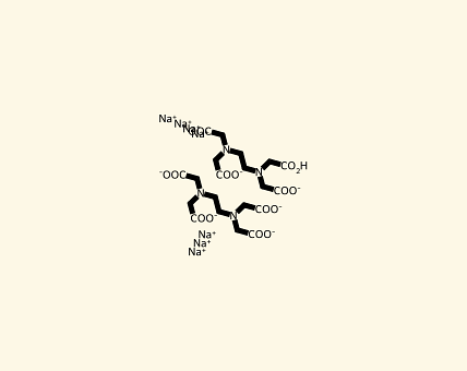 O=C([O-])CN(CCN(CC(=O)[O-])CC(=O)O)CC(=O)[O-].O=C([O-])CN(CCN(CC(=O)[O-])CC(=O)[O-])CC(=O)[O-].[Na+].[Na+].[Na+].[Na+].[Na+].[Na+].[Na+]